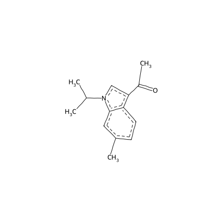 CC(=O)c1cn(C(C)C)c2cc(C)ccc12